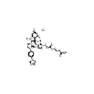 C[C@@H](N1CCN(c2ccc(-n3cnnn3)cc2)C1=O)[C@](O)(C[n+]1cn(COC(=O)OCCCC(=O)O)cn1)c1ccc(F)cc1F.[Cl-]